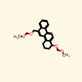 COCOCc1cc2c3c(ccc2c2ccccc12)C(OCOC)CCC3